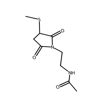 CSC1CC(=O)N(CCNC(C)=O)C1=O